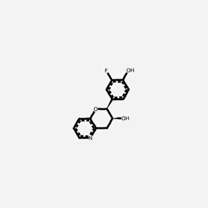 Oc1ccc([C@@H]2Oc3cccnc3C[C@@H]2O)cc1F